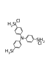 [SiH3]c1ccc(N(c2ccc([SiH2]Cl)cc2)c2ccc([SiH2]Cl)cc2)cc1